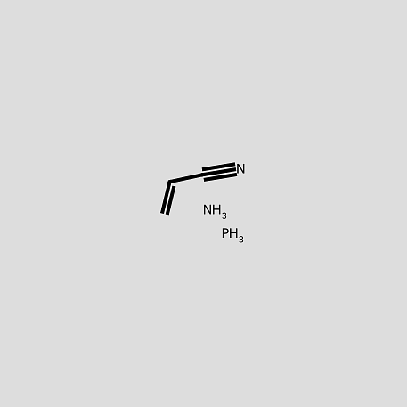 C=CC#N.N.P